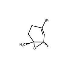 CC(C)C1=C[C@@H]2O[C@]2(C)CC1